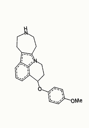 COc1ccc(OC2CCn3c4c(c5cccc2c53)CCNCC4)cc1